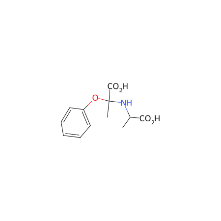 CC(NC(C)(Oc1ccccc1)C(=O)O)C(=O)O